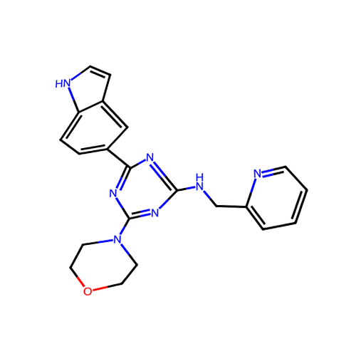 c1ccc(CNc2nc(-c3ccc4[nH]ccc4c3)nc(N3CCOCC3)n2)nc1